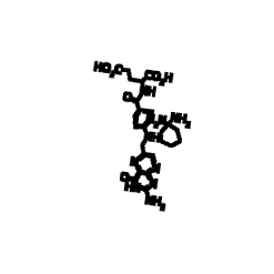 NC1(N)CCCCC1.Nc1nc2ncc(CNc3ccc(C(=O)N[C@@H](CCC(=O)O)C(=O)O)cc3)nc2c(=O)[nH]1